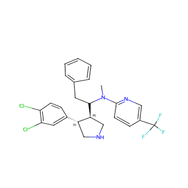 CN(c1ccc(C(F)(F)F)cn1)C(Cc1ccccc1)[C@H]1CNC[C@@H]1c1ccc(Cl)c(Cl)c1